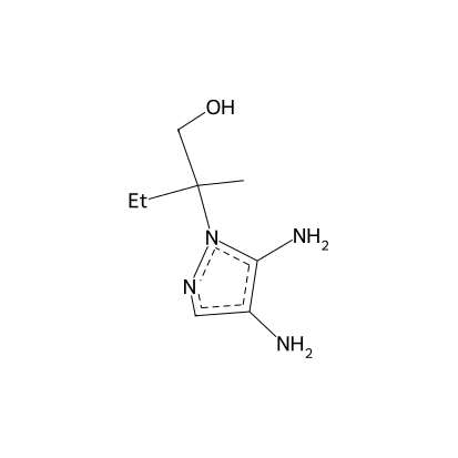 CCC(C)(CO)n1ncc(N)c1N